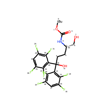 CC(C)(C)OC(=O)N[C@H](CO)CCC(O)(c1c(F)c(F)cc(F)c1F)c1c(F)c(F)cc(F)c1F